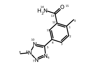 Cc1ccc(-c2nnn(C)n2)cc1C(N)=O